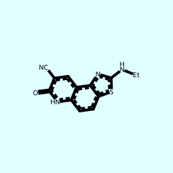 CCNc1nc2c(ccc3[nH]c(=O)c(C#N)cc32)s1